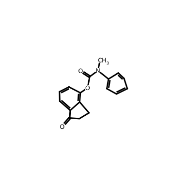 CN(C(=O)Oc1cccc2c1CCC2=O)c1ccccc1